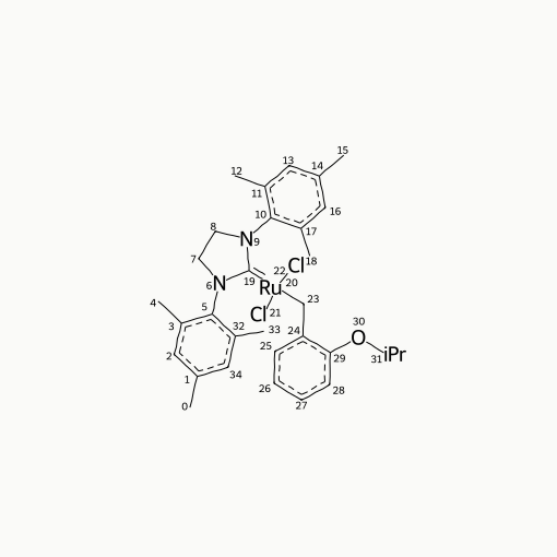 Cc1cc(C)c(N2CCN(c3c(C)cc(C)cc3C)[C]2=[Ru]([Cl])([Cl])[CH2]c2ccccc2OC(C)C)c(C)c1